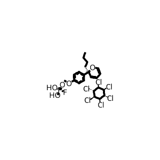 CCCC[C@@]1(c2ccc(OC)cc2)C=CC=CO1.Cl[C@H]1[C@H](Cl)[C@@H](Cl)[C@@H](Cl)[C@H](Cl)[C@H]1Cl.O=P(O)(O)F